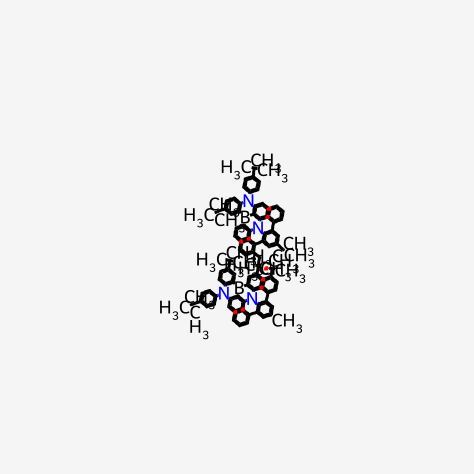 Cc1cc(-c2ccccc2)c(N2c3ccc(C(C)(C)Cc4ccccc4-c4cc(C(C)(C)C)cc(-c5ccccc5)c4N4c5ccccc5B5c6cc(C(C)(C)C)ccc6N(c6ccc(C(C)(C)C)cc6)c6cccc4c65)cc3B3c4cc(C(C)(C)C)ccc4N(c4ccc(C(C)(C)C)cc4)c4cccc2c43)c(-c2ccc(C(C)(C)C)cc2)c1